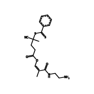 C/C(=C/OC(=O)CCC(C)(C#N)SC(=S)c1ccccc1)C(=O)NCCN